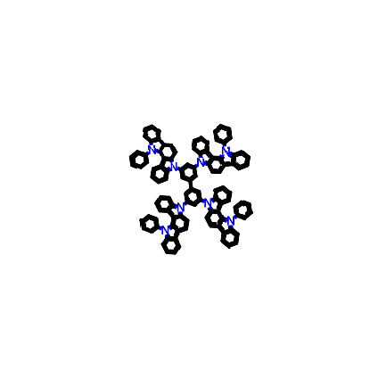 C1=CC2c3ccccc3N(c3ccccc3)C2c2c1n(-c1cc(-c3cc(-n4c5ccccc5c5c4ccc4c6ccccc6n(-c6ccccc6)c45)cc(-n4c5ccccc5c5c4ccc4c6ccccc6n(-c6ccccc6)c45)c3)cc(-n3c4ccccc4c4c3ccc3c5ccccc5n(-c5ccccc5)c34)c1)c1ccccc21